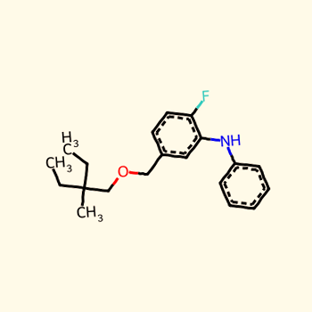 CCC(C)(CC)COCc1ccc(F)c(Nc2ccccc2)c1